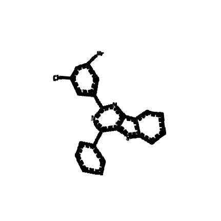 Clc1cc(Br)cc(-c2nc(-c3ccccc3)c3sc4ccccc4c3n2)c1